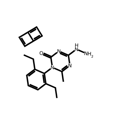 CCc1cccc(CC)c1-n1c(C)nc(NN)nc1=O.c1cc2ccc1-2